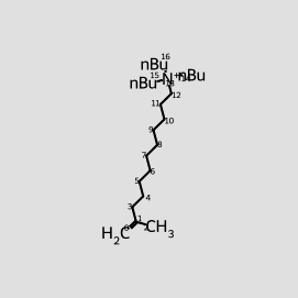 C=C(C)CCCCCCCCCC[N+](CCCC)(CCCC)CCCC